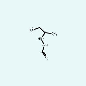 CCC(C)NNC=O